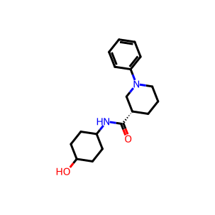 O=C(NC1CCC(O)CC1)[C@H]1CCCN(c2ccccc2)C1